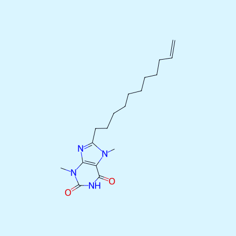 C=CCCCCCCCCCc1nc2c(c(=O)[nH]c(=O)n2C)n1C